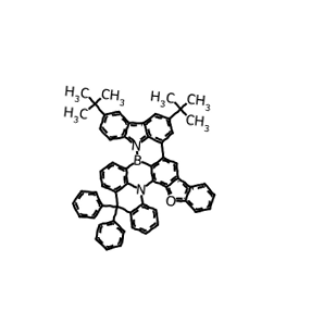 CC(C)(C)c1ccc2c(c1)c1cc(C(C)(C)C)cc3c1n2B1c2cccc4c2N(c2ccccc2C4(c2ccccc2)c2ccccc2)c2c1c-3cc1c2oc2ccccc21